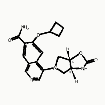 NC(=O)c1cc2cncc(N3C[C@@H]4OC(=O)N[C@@H]4C3)c2cc1OC1CCC1